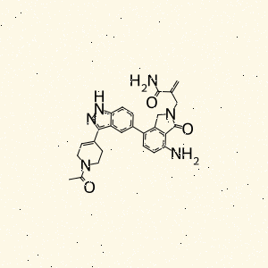 C=C(CN1Cc2c(-c3ccc4[nH]nc(C5=CCN(C(C)=O)CC5)c4c3)ccc(N)c2C1=O)C(N)=O